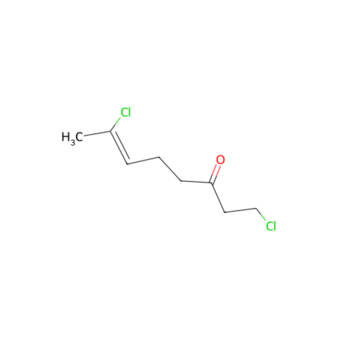 CC(Cl)=CCCC(=O)CCCl